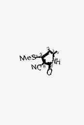 CSc1cc(C)[nH]c(=O)c1C#N